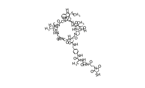 CC[C@H](C)[C@@H]1NC(=O)CNC(=O)[C@@H](Cc2c(SC)[nH]c3ccccc23)NC(=O)[C@H]([C@@H](C)[C@@H](O)CO)NC2CCCN2C(=O)[C@H](CC(=O)NCc2ccc(NC(=O)[C@H](C)NC(=O)CNC(=O)CCN3C(=O)CC(S)C3=O)cc2)NC(=O)CNC(=O)CNC1=O